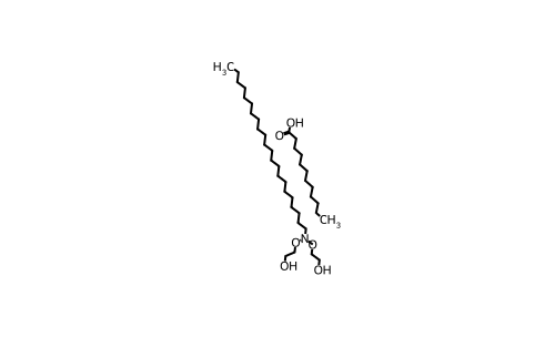 CCCCCCCCCCCC(=O)O.CCCCCCCCCCCCCCCCCCCCCCN(OCCO)OCCO